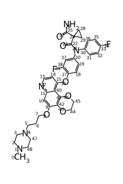 CN1CCN(CCCOc2cc3nccc(Oc4ccc(N(C(=O)C5(C(N)=O)CC5)c5ccc(F)cc5)cc4F)c3c3c2OCCO3)CC1